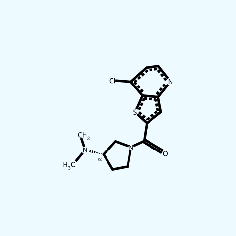 CN(C)[C@H]1CCN(C(=O)c2cc3nccc(Cl)c3s2)C1